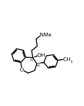 CNCCC[C@@]1(O)c2ccccc2OCC[C@@H]1C1C=CC(C)=CC1